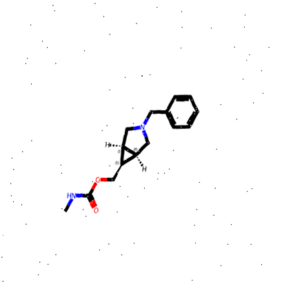 CNC(=O)OC[C@H]1[C@H]2CN(Cc3ccccc3)C[C@@H]12